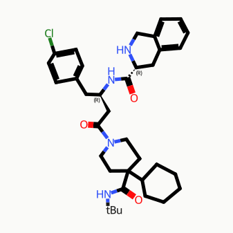 CC(C)(C)NC(=O)C1(C2CCCCC2)CCN(C(=O)C[C@@H](Cc2ccc(Cl)cc2)NC(=O)[C@H]2Cc3ccccc3CN2)CC1